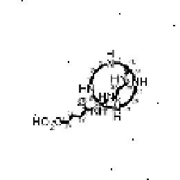 C[C@]12CNCCCNC[C@](NC(=O)CCCC(=O)O)(CNCCCNC1)CNCCCNC2